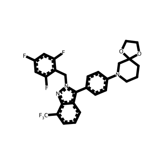 Fc1cc(F)c(Cn2nc3c(C(F)(F)F)cccc3c2-c2ccc(N3CCCC4(C3)OCCO4)cc2)c(F)c1